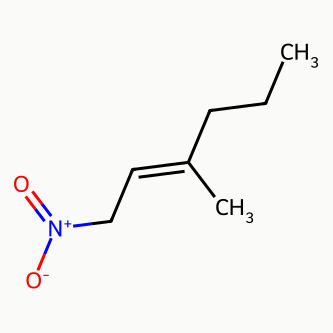 CCC/C(C)=C/C[N+](=O)[O-]